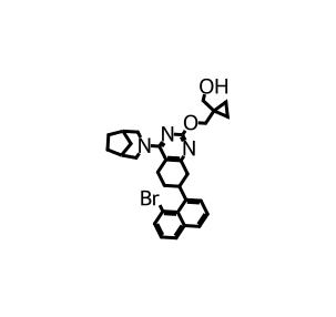 OCC1(COc2nc3c(c(N4CC5CCC(C5)C4)n2)CCC(c2cccc4cccc(Br)c24)C3)CC1